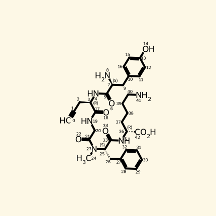 C#CC[C@@H](NC(=O)[C@@H](N)Cc1ccc(O)cc1)C(=O)NCC(=O)N(C)[C@@H](Cc1ccccc1)C(=O)N[C@H](CCCCN)C(=O)O